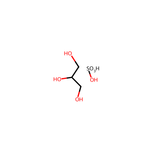 O=S(=O)(O)O.OCC(O)CO